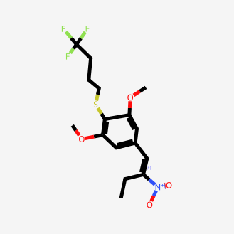 CC/C(=C\c1cc(OC)c(SCCCC(F)(F)F)c(OC)c1)[N+](=O)[O-]